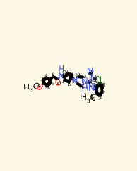 COc1ccc(CC(=O)Nc2ccc(N3CCN(/C(=N\C#N)Nc4c(C)cccc4Cl)CC3)cc2)cc1